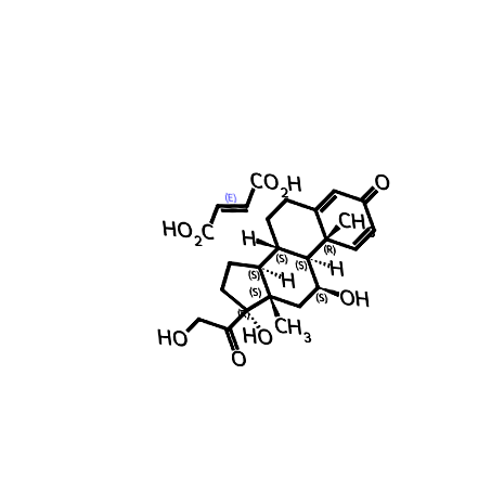 C[C@]12C=CC(=O)C=C1CC[C@@H]1[C@@H]2[C@@H](O)C[C@@]2(C)[C@H]1CC[C@]2(O)C(=O)CO.O=C(O)/C=C/C(=O)O